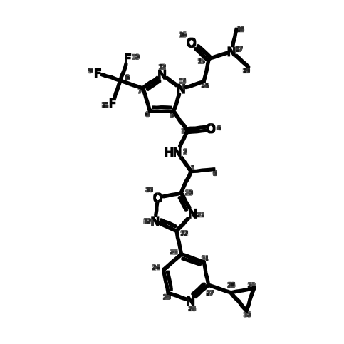 CC(NC(=O)c1cc(C(F)(F)F)nn1CC(=O)N(C)C)c1nc(-c2ccnc(C3CC3)c2)no1